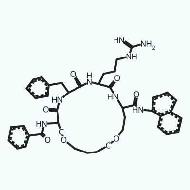 N=C(N)NCCCC1NC(=O)C(Cc2ccccc2)NC(=O)C(NC(=O)c2ccccc2)COCCCCOCCC(C(=O)Nc2cccc3ccccc23)NC1=O